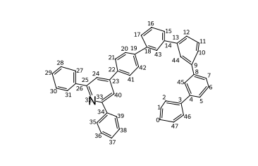 c1ccc(-c2cccc(-c3cccc(-c4cccc(-c5ccc(-c6cc(-c7ccccc7)nc(-c7ccccc7)c6)cc5)c4)c3)c2)cc1